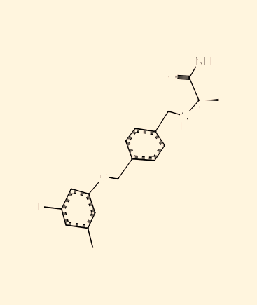 Cc1cc(F)cc(OCc2ccc(CN[C@H](C)C(N)=O)cc2)c1